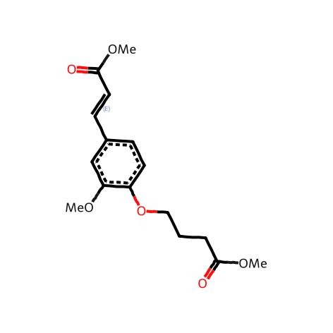 COC(=O)/C=C/c1ccc(OCCCC(=O)OC)c(OC)c1